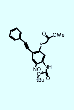 COC(=O)CSc1cc(NC(=O)OC(C)(C)C)c([N+](=O)[O-])cc1C#Cc1ccccc1